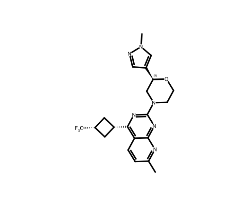 Cc1ccc2c(n1)nc(N1CCO[C@H](c3cnn(C)c3)C1)nc2[C@H]1C[C@@H](C(F)(F)F)C1